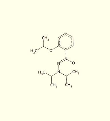 CC(C)Oc1ccccc1[N+]([O-])=NN(C(C)C)C(C)C